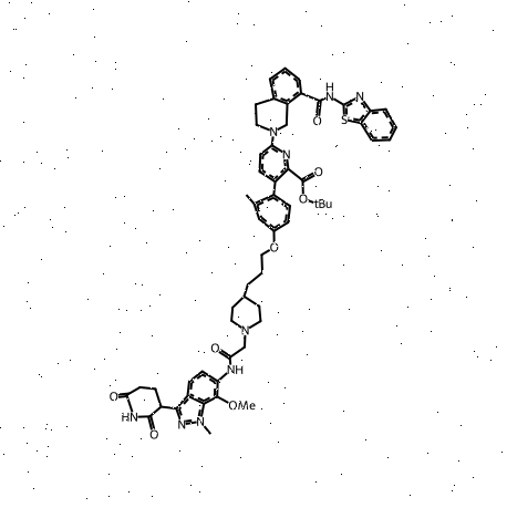 COc1c(NC(=O)CN2CCC(CCCOc3ccc(-c4ccc(N5CCc6cccc(C(=O)Nc7nc8ccccc8s7)c6C5)nc4C(=O)OC(C)(C)C)c(C)c3)CC2)ccc2c(C3CCC(=O)NC3=O)nn(C)c12